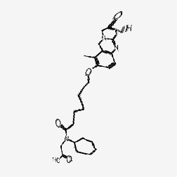 Cc1c(OCCCCCC(=O)N(CC(=O)O)C2CCCCC2)ccc2c1CN1CC(=O)NC1=N2